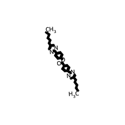 CCCCCCc1cnc(-c2ccc(OC(=O)c3ccc(-c4ncc(CCCCCC)cn4)cc3)cc2)nc1